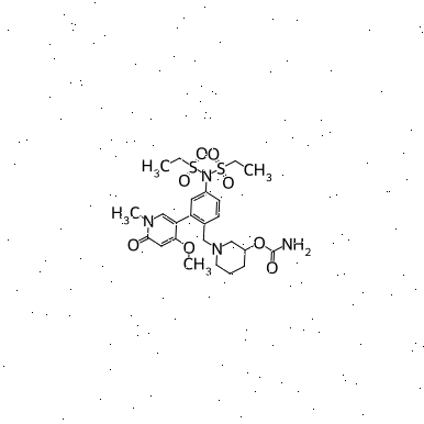 CCS(=O)(=O)N(c1ccc(CN2CCCC(OC(N)=O)C2)c(-c2cn(C)c(=O)cc2OC)c1)S(=O)(=O)CC